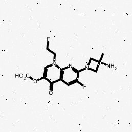 CC1(N)CN(c2nc3c(cc2F)c(=O)c(OC(=O)O)cn3CCF)C1